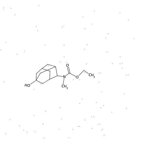 CCOC(=O)N(C)C1C2CC3CC1CC(O)(C3)C2